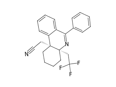 N#CC[C@@]12CCCC[C@]1(CC(F)(F)F)N=C(c1ccccc1)c1ccccc12